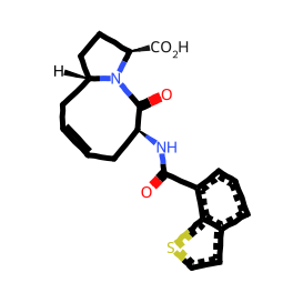 O=C(N[C@H]1CC=CC[C@@H]2CC[C@@H](C(=O)O)N2C1=O)c1cccc2ccsc12